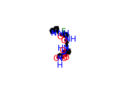 O=C1CCC(N2C(=O)c3cccc(NCCCC(=O)Nc4ccc(F)c(C(=O)NCc5cccc6cccnc56)c4)c3C2=O)C(=O)N1